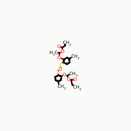 C=CC(=O)OC(C)Oc1cc(C)ccc1SOSc1ccc(C)cc1OC(C)OC(=O)C=C